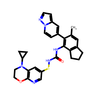 Cc1cc2c(c(NC(=O)NSc3cnc4c(c3)N(C3CC3)CCO4)c1-c1ccn3nccc3c1)CCC2